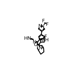 N=C/N=C(\c1cc(-c2cnn(C(F)F)c2)c[nH]1)N1CC2CCC(C1)N2C(=O)C1CC(F)C1